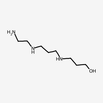 NCCNCCCNCCCO